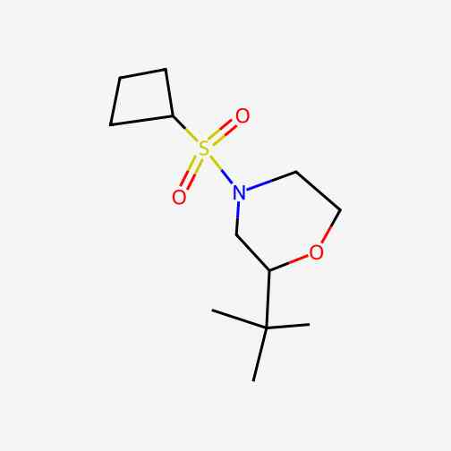 CC(C)(C)C1CN(S(=O)(=O)C2CCC2)CCO1